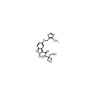 Cc1ncsc1COc1ccc2nn(C)c(C(=O)NC3(CO)COC3)c2c1